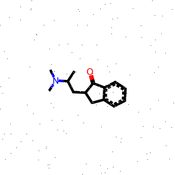 CC(CC1Cc2ccccc2C1=O)N(C)C